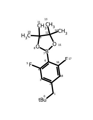 CC(C)(C)Cc1cc(F)c(B2OC(C)(C)C(C)(C)O2)c(F)c1